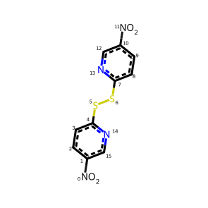 O=[N+]([O-])c1ccc(SSc2ccc([N+](=O)[O-])cn2)nc1